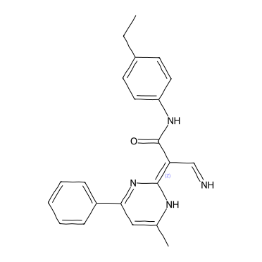 CCc1ccc(NC(=O)/C(C=N)=C2\N=C(c3ccccc3)C=C(C)N2)cc1